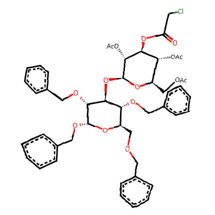 CC(=O)OC[C@H]1O[C@@H](O[C@@H]2[C@@H](OCc3ccccc3)[C@@H](OCc3ccccc3)O[C@H](COCc3ccccc3)[C@H]2OCc2ccccc2)[C@H](OC(C)=O)[C@@H](OC(=O)CCl)[C@@H]1OC(C)=O